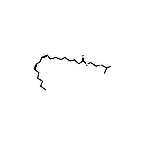 CCCCC/C=C\C/C=C\CCCCCCCC(=O)OCCOC(C)C